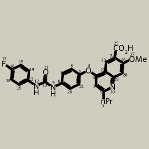 CCCc1cc(Oc2ccc(NC(=O)Nc3ccc(F)cc3)cc2)c2cc(C(=O)O)c(OC)cc2n1